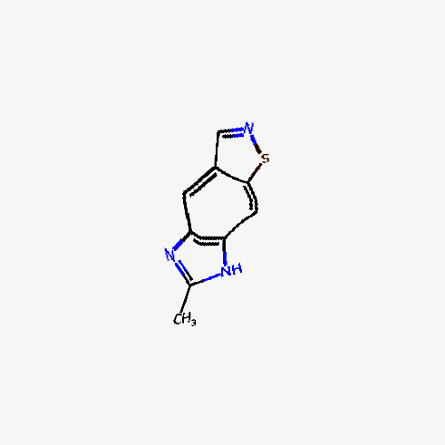 Cc1nc2cc3cnsc3cc2[nH]1